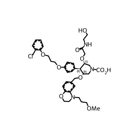 COCCCN1CCOc2ccc(CO[C@H]3CN(C(=O)O)C[C@@H](OCC(=O)NCCO)[C@@H]3c3ccc(OCCCOc4ccccc4Cl)cc3)cc21